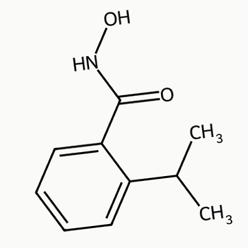 CC(C)c1ccccc1C(=O)NO